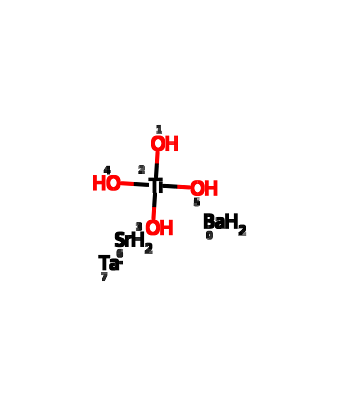 [BaH2].[OH][Ti]([OH])([OH])[OH].[SrH2].[Ta]